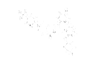 CC(C)N(C(=O)Oc1ccc(F)cc1)[C@@H]1CN(C(=O)C2CCN(c3ccc(C(F)(F)F)cn3)CC2)C[C@H]1c1ccc(Cl)cc1